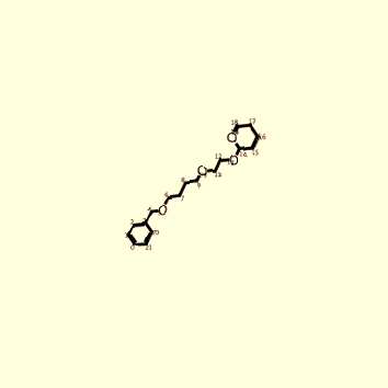 c1ccc(COCCCCOCCOC2CCCCO2)cc1